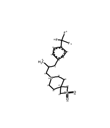 CC(Cc1ccc(C(F)(F)F)cc1)CN1CCC2(CC1)CS(=O)(=O)C2